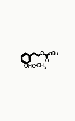 CC=O.CCCCC(=O)OCCc1ccccc1